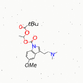 COc1ccc2c(c1)c(CCN(C)C)cn2C(=O)OC(C)OC(=O)C(C)(C)C